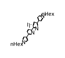 CCCCCC[n+]1ccc(-c2ccc(-c3ccc(-c4cc[n+](CCCCCC)cc4)cn3)nc2)cc1.[I-].[I-]